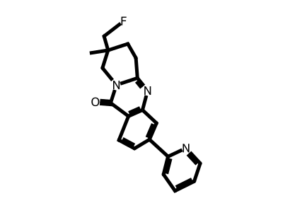 CC1(CF)CCc2nc3cc(-c4ccccn4)ccc3c(=O)n2C1